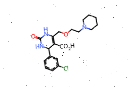 O=C1NC(COCCN2CCCCC2)=C(C(=O)O)C(c2cccc(Cl)c2)N1